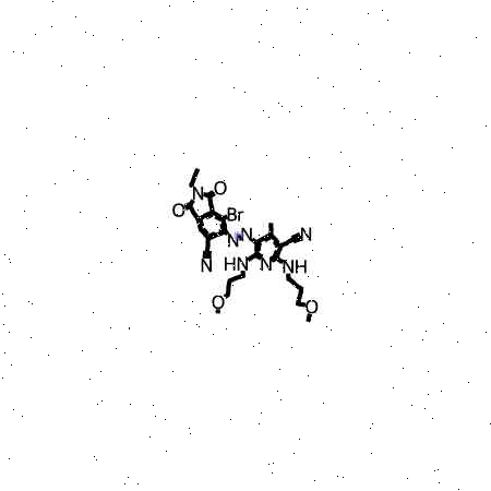 CCN1C(=O)c2cc(C#N)c(/N=N/c3c(NCCCOC)nc(NCCCOC)c(C#N)c3C)c(Br)c2C1=O